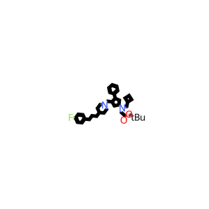 CC(C)(C)OC(=O)CN(CC1CCC1)C1CC(CN2CCC(CCCc3ccc(F)cc3)CC2)C(c2ccccc2)C1